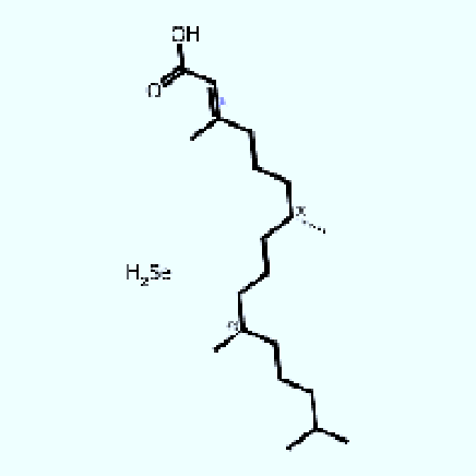 C/C(=C\C(=O)O)CCC[C@H](C)CCC[C@H](C)CCCC(C)C.[SeH2]